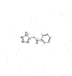 c1ccc(NCc2nnn[nH]2)cc1